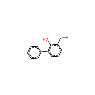 Oc1c(CI)cccc1-c1ccccc1